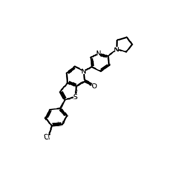 O=c1c2sc(-c3ccc(Cl)cc3)cc2ccn1-c1ccc(N2CCCC2)nc1